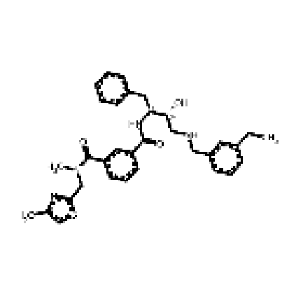 CCc1cccc(CNC[C@@H](O)[C@H](Cc2ccccc2)NC(=O)c2cccc(C(=O)N(C)Cc3nc(C)cs3)c2)c1